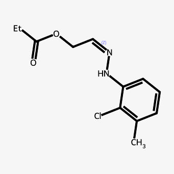 CCC(=O)OC/C=N\Nc1cccc(C)c1Cl